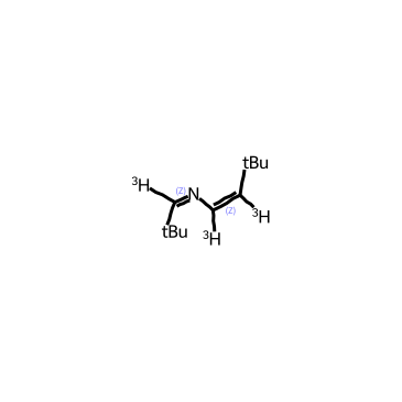 [3H]/C(=N/C([3H])=C(/[3H])C(C)(C)C)C(C)(C)C